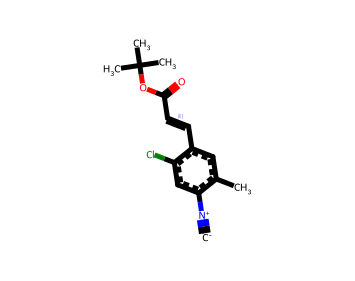 [C-]#[N+]c1cc(Cl)c(/C=C/C(=O)OC(C)(C)C)cc1C